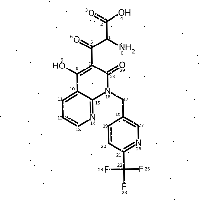 NC(C(=O)O)C(=O)c1c(O)c2cccnc2n(Cc2ccc(C(F)(F)F)nc2)c1=O